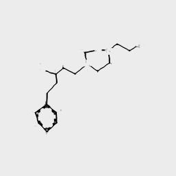 CC(C)CCN1CCN(CCC(C)CCc2ccccc2)CC1